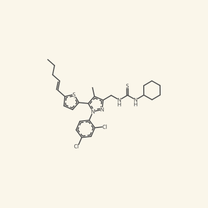 CCCC=Cc1ccc(-c2c(C)c(CNC(=S)NC3CCCCC3)nn2-c2ccc(Cl)cc2Cl)s1